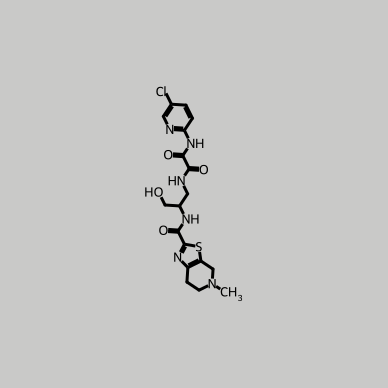 CN1CCc2nc(C(=O)NC(CO)CNC(=O)C(=O)Nc3ccc(Cl)cn3)sc2C1